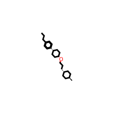 CCCc1ccc([C@H]2CC[C@H](OCCC[C@H]3CC[C@H](C)CC3)CC2)cc1